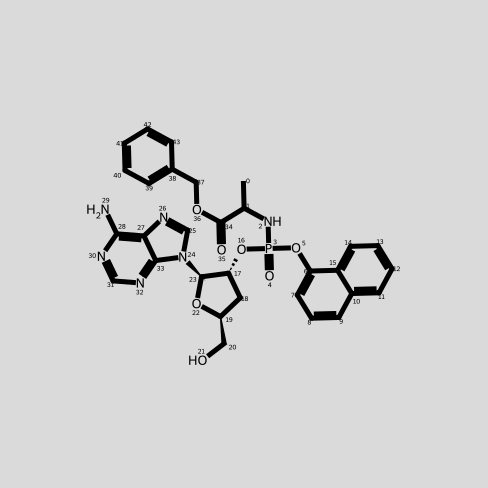 CC(NP(=O)(Oc1cccc2ccccc12)O[C@@H]1C[C@@H](CO)O[C@H]1n1cnc2c(N)ncnc21)C(=O)OCc1ccccc1